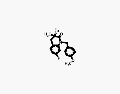 COc1ccc(CN2C(=O)C(C)(C)Cc3ccc(F)cc32)cc1